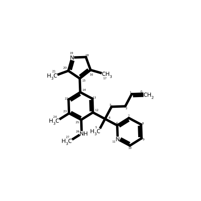 C=CCCC(C)(c1ccccn1)c1cc(C2=C(C)CN=C2C)cc(C)c1NC